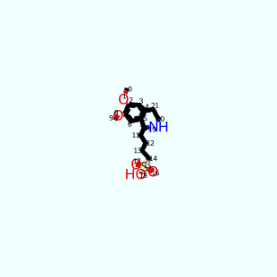 COc1cc2c(cc1OC)C(CCCCS(=O)(=O)O)NCC2